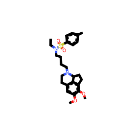 CCN(CCCCN1CCc2cc(OC)c(OC)c3c2C1CC3)S(=O)(=O)c1ccc(C)cc1